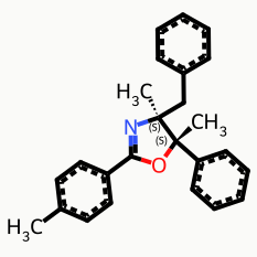 Cc1ccc(C2=N[C@@](C)(Cc3ccccc3)[C@](C)(c3ccccc3)O2)cc1